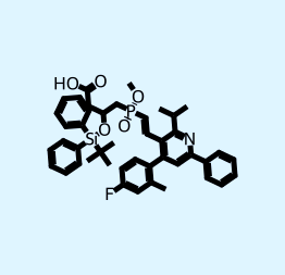 COP(=O)(C=Cc1c(-c2ccc(F)cc2C)cc(-c2ccccc2)nc1C(C)C)CC(CC(=O)O)O[Si](c1ccccc1)(c1ccccc1)C(C)(C)C